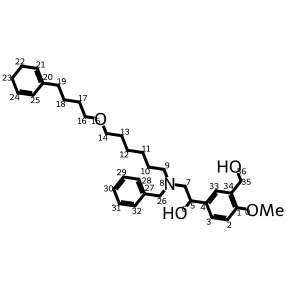 COc1ccc(C(O)CN(CCCCCCOCCCCC2=CCCC=C2)Cc2ccccc2)cc1CO